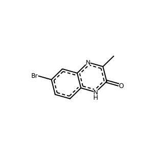 Cc1nc2cc(Br)ccc2[nH]c1=O